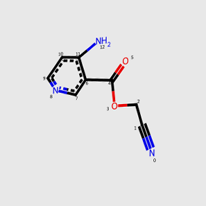 N#CCOC(=O)c1cnccc1N